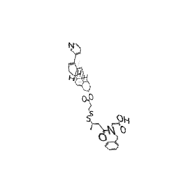 C[C@H](CC(=O)N(CC(=O)O)Cc1ccccc1)SSCCC(=O)O[C@H]1CC[C@@]2(C)C(=CC[C@@H]3[C@@H]2CC[C@]2(C)C(c4cccnc4)=CC[C@@H]32)C1